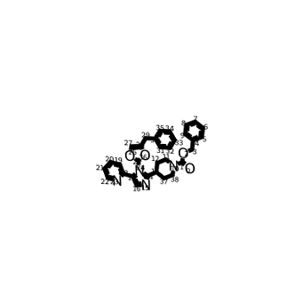 O=C(OCc1ccccc1)N1CCC(c2ncc(-c3ccccn3)n2C2OC=C(Cc3ccccc3)O2)CC1